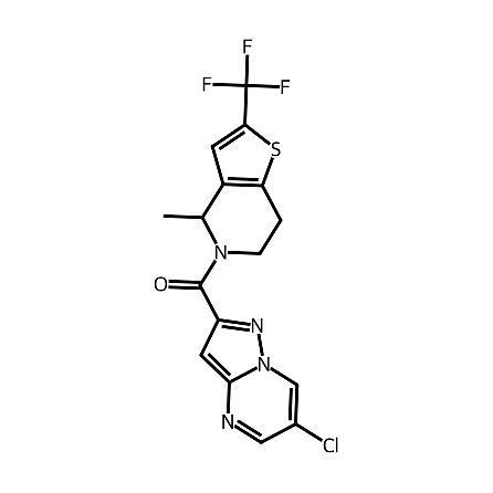 CC1c2cc(C(F)(F)F)sc2CCN1C(=O)c1cc2ncc(Cl)cn2n1